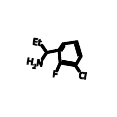 CCC(N)c1cccc(Cl)c1F